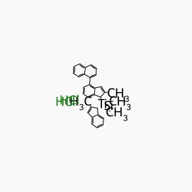 CC1=Cc2ccccc2[CH]1[Ti]([CH]1C(C)=Cc2c(-c3cccc4ccccc34)cccc21)=[Si](C)C.Cl.Cl